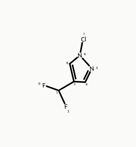 FC(F)c1cnn(Cl)c1